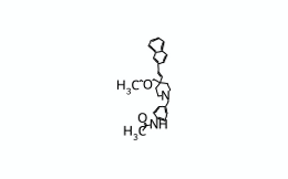 CCOCC1(/C=C/c2ccc3ccccc3c2)CCN(Cc2ccc(NC(C)=O)cc2)CC1